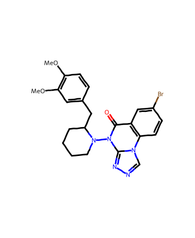 COc1ccc(CC2CCCCN2n2c(=O)c3cc(Br)ccc3n3cnnc23)cc1OC